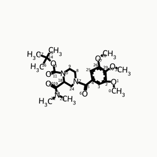 COc1cc(C(=O)N2CCN(C(=O)OC(C)(C)C)C(C(=O)N(C)C)C2)cc(OC)c1OC